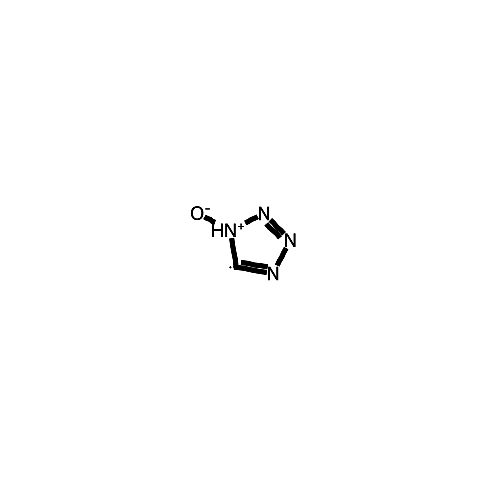 [O-][NH+]1[C]=NN=N1